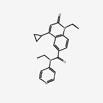 CCn1c(=O)cc(C2CC2)c2cc(C(=O)N(CI)c3ccncc3)ccc21